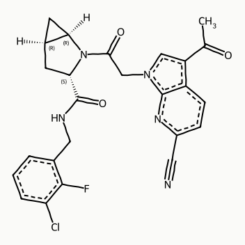 CC(=O)c1cn(CC(=O)N2[C@@H]3C[C@@H]3C[C@H]2C(=O)NCc2cccc(Cl)c2F)c2nc(C#N)ccc12